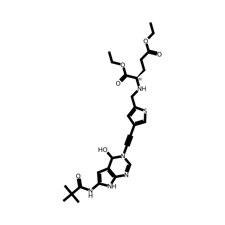 CCOC(=O)CC[C@@H](NCc1cc(C#CN2C=Nc3[nH]c(NC(=O)C(C)(C)C)cc3C2O)cs1)C(=O)OCC